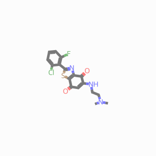 CN(C)CCNC1=CC(=O)c2sc(-c3c(F)cccc3Cl)nc2C1=O